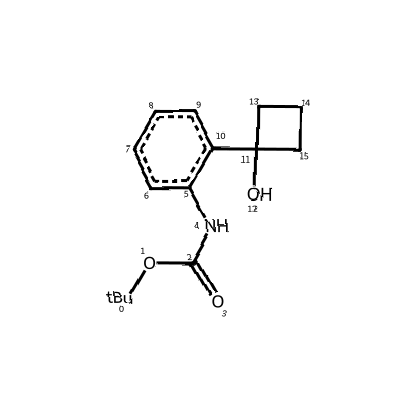 CC(C)(C)OC(=O)Nc1ccccc1C1(O)CCC1